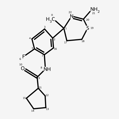 CC1(c2ccc(F)c(NC(=O)C3CCCC3)c2)CCSC(N)=N1